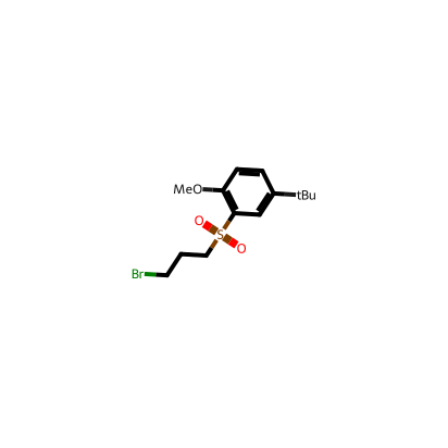 COc1ccc(C(C)(C)C)cc1S(=O)(=O)CCCBr